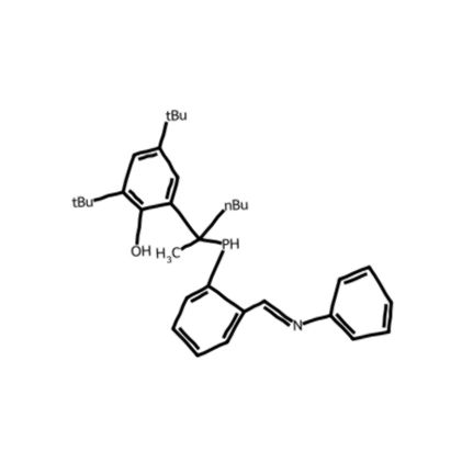 CCCCC(C)(Pc1ccccc1/C=N/c1ccccc1)c1cc(C(C)(C)C)cc(C(C)(C)C)c1O